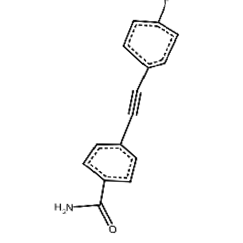 NC(=O)c1ccc(C#Cc2ccc(F)cc2)cc1